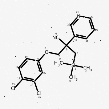 C[Si](C)(C)CC(C#N)(COc1ccc(Cl)c(Cl)c1)c1cccnc1